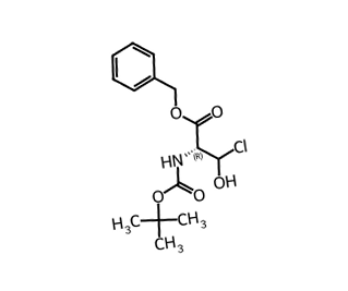 CC(C)(C)OC(=O)N[C@H](C(=O)OCc1ccccc1)C(O)Cl